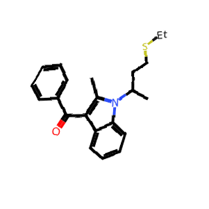 CCSCCC(C)n1c(C)c(C(=O)c2ccccc2)c2ccccc21